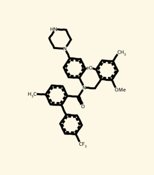 COc1cc(C)cc(OC)c1CN(C(=O)c1ccc(C)cc1-c1ccc(C(F)(F)F)cc1)c1ccc(N2CCNCC2)cc1